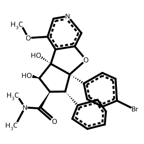 COc1cncc2c1[C@]1(O)[C@H](O)[C@H](C(=O)N(C)C)[C@@H](c3ccccc3)[C@]1(c1ccc(Br)cc1)O2